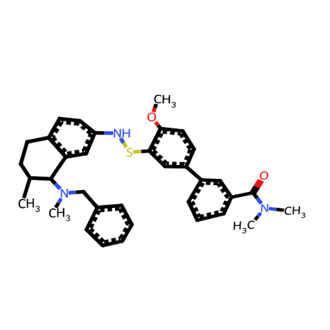 COc1ccc(-c2cccc(C(=O)N(C)C)c2)cc1SNc1ccc2c(c1)C(N(C)Cc1ccccc1)C(C)CC2